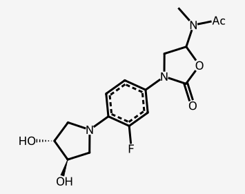 CC(=O)N(C)C1CN(c2ccc(N3C[C@@H](O)[C@H](O)C3)c(F)c2)C(=O)O1